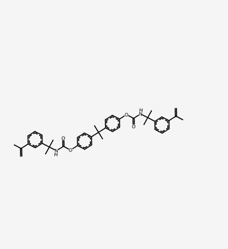 C=C(C)c1cccc(C(C)(C)NC(=O)Oc2ccc(C(C)(C)c3ccc(OC(=O)NC(C)(C)c4cccc(C(=C)C)c4)cc3)cc2)c1